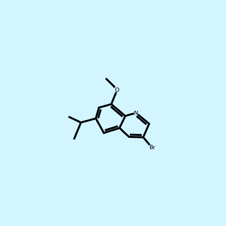 COc1cc(C(C)C)cc2cc(Br)cnc12